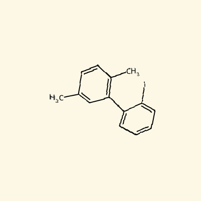 Cc1ccc(C)c(-c2ccccc2I)c1